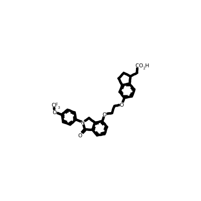 O=C(O)CC1CCc2cc(OCCOc3cccc4c3CN(c3ccc(OC(F)(F)F)cc3)C4=O)ccc21